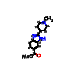 COC(=O)c1ccc2nc(C3CCN(C)CC3)[nH]c2c1